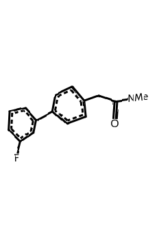 CNC(=O)Cc1ccc(-c2cccc(F)c2)cc1